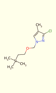 Cc1cn(COCC[Si](C)(C)C)nc1Cl